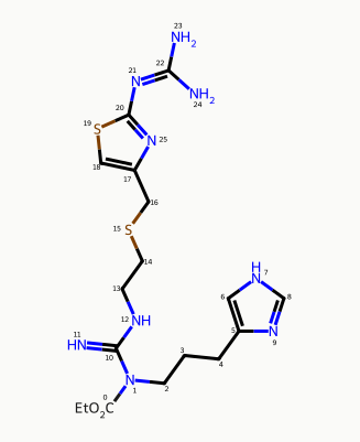 CCOC(=O)N(CCCc1c[nH]cn1)C(=N)NCCSCc1csc(N=C(N)N)n1